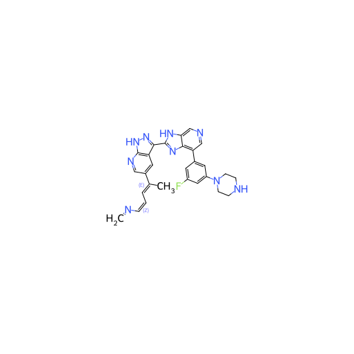 C=N/C=C\C=C(/C)c1cnc2[nH]nc(-c3nc4c(-c5cc(F)cc(N6CCNCC6)c5)cncc4[nH]3)c2c1